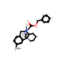 [CH2]Oc1ccc2c(c1)[C@@]13CCCC[C@H]1[C@@H](C2)N(C(=O)OCc1ccccc1)CC3